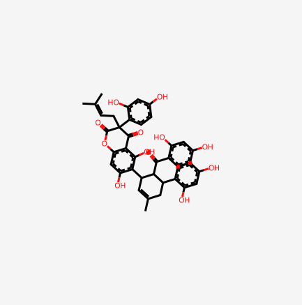 CC(C)=CCC1(c2ccc(O)cc2O)C(=O)Oc2cc(O)c(C3C=C(C)CC(c4ccc(O)cc4O)C3C(=O)c3ccc(O)cc3O)c(O)c2C1=O